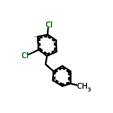 Cc1ccc(Cc2ccc(Cl)[c]c2Cl)cc1